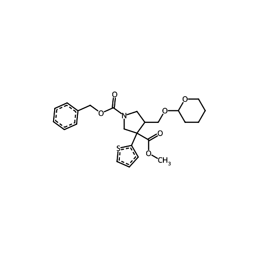 COC(=O)C1(c2cccs2)CN(C(=O)OCc2ccccc2)CC1COC1CCCCO1